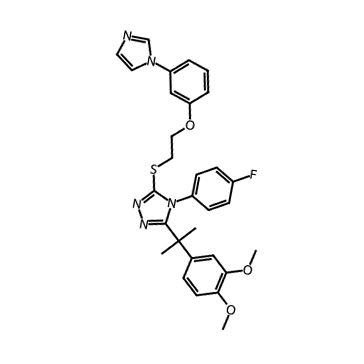 COc1ccc(C(C)(C)c2nnc(SCCOc3cccc(-n4ccnc4)c3)n2-c2ccc(F)cc2)cc1OC